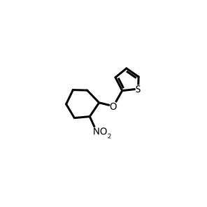 O=[N+]([O-])C1CCCCC1Oc1cccs1